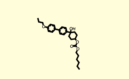 CCCCCCOC(=O)OC1CCC(O)(c2ccc(-c3ccc(OCCC)cc3)cc2)CC1